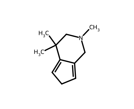 CN1CC2=CCC=C2C(C)(C)C1